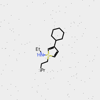 CCNS1(CCC(C)C)C=CC(C2CCCCC2)=C1